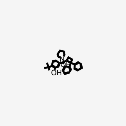 CC(C)(C)c1ccc(C(O)(C2CCC2(c2ccccc2)c2ccccc2)N2CCCCC2)cc1O